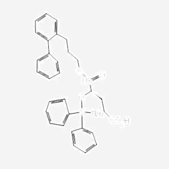 CC(C)(C)[Si](O[C@H](CCC(=O)O)[PH](=O)OCCCc1ccccc1-c1ccccc1)(c1ccccc1)c1ccccc1